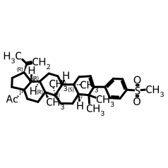 C=C(C)[C@@H]1CC[C@]2(C(C)=O)CC[C@]3(C)[C@H](CC[C@@H]4[C@@]5(C)CC=C(c6ccc(S(C)(=O)=O)cc6)C(C)(C)[C@@H]5CC[C@]43C)[C@@H]12